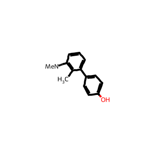 CNc1cccc(-c2ccc(O)cc2)c1C